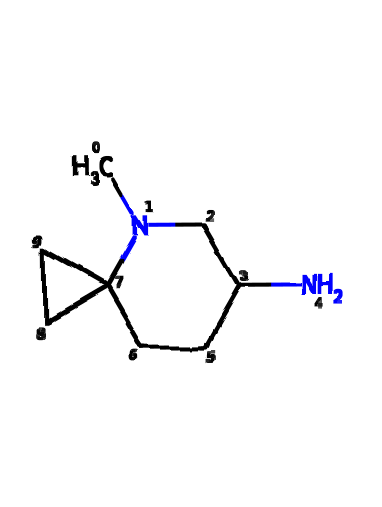 CN1CC(N)CCC12CC2